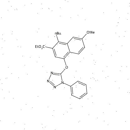 CCCCc1c(C(=O)OCC)cc(Oc2nnnn2-c2ccccc2)c2ccc(OC)cc12